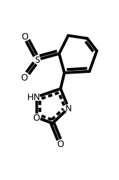 O=c1nc(C2=CC=CCC2=S(=O)=O)[nH]o1